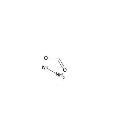 O=C[O-].[NH2][Ni+]